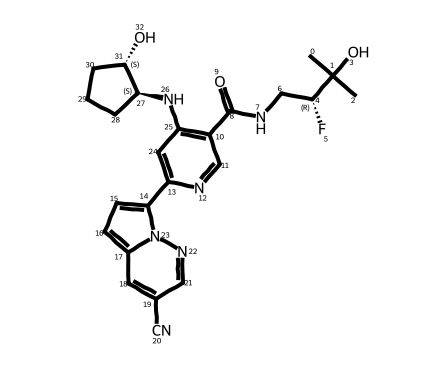 CC(C)(O)[C@H](F)CNC(=O)c1cnc(-c2ccc3cc(C#N)cnn23)cc1N[C@H]1CCC[C@@H]1O